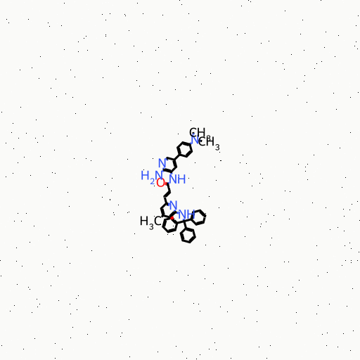 Cc1cc(/C=C/C(=O)Nc2cc(-c3ccc(N(C)C)cc3)cnc2N)nc(NC(c2ccccc2)(c2ccccc2)c2ccccc2)c1